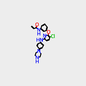 C=CC(=O)Nc1cccc(Oc2nc(Nc3ccc(N4CCNCC4)cc3)ccc2Cl)c1